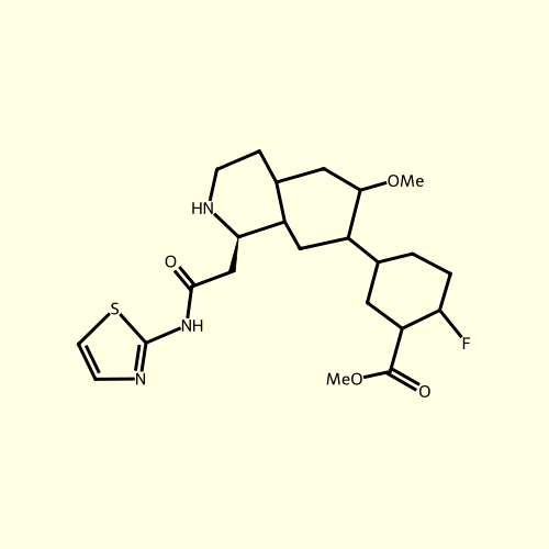 COC(=O)C1CC(C2CC3C(CCN[C@@H]3CC(=O)Nc3nccs3)CC2OC)CCC1F